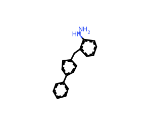 NNc1ccccc1Cc1ccc(-c2ccccc2)cc1